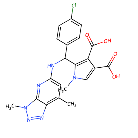 Cc1cc(NC(c2ccc(Cl)cc2)c2c(C(=O)O)c(C(=O)O)cn2C)nc2c1nnn2C